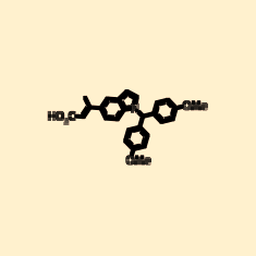 COc1ccc(C(c2ccc(OC)cc2)n2ccc3cc(C(C)=CC(=O)O)ccc32)cc1